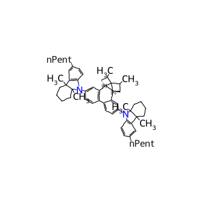 CCCCCc1ccc2c(c1)C1(C)CCCCC1(C)N2c1ccc2c(c1)[C@@]13CC(C)C14C(C)C[C@]43c1cc(N3c4ccc(CCCCC)cc4C4(C)CCCCC34C)ccc1-2